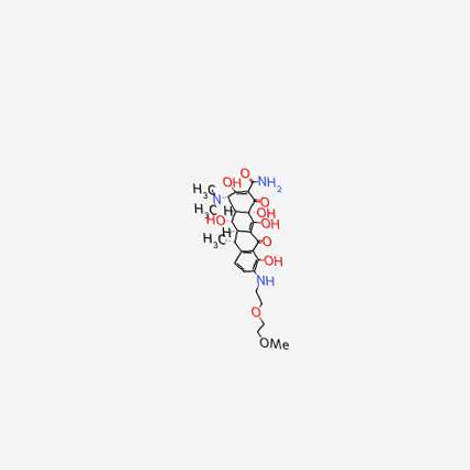 COCCOCCNc1ccc2c(c1O)C(=O)C1=C(O)[C@]3(O)C(=O)C(C(N)=O)=C(O)[C@@H](N(C)C)[C@@H]3[C@@H](O)[C@@H]1[C@H]2C